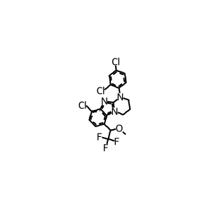 COC(c1ccc(Cl)c2nc3n(c12)CCCN3c1ccc(Cl)cc1Cl)C(F)(F)F